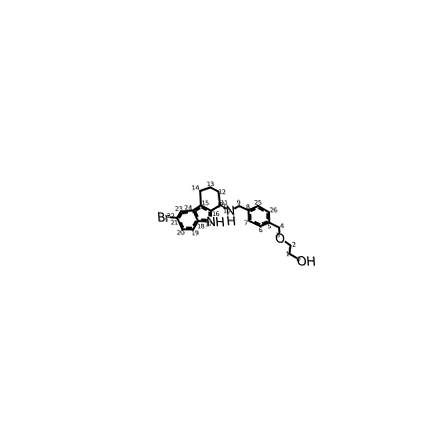 OCCOCc1ccc(CN[C@@H]2CCCc3c2[nH]c2ccc(Br)cc32)cc1